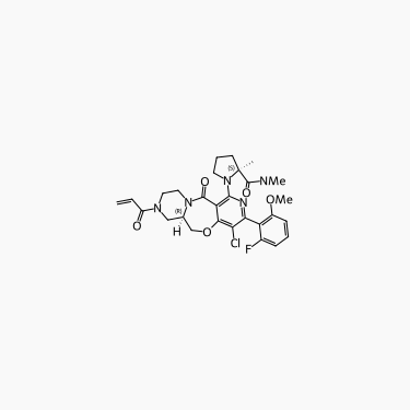 C=CC(=O)N1CCN2C(=O)c3c(N4CCC[C@@]4(C)C(=O)NC)nc(-c4c(F)cccc4OC)c(Cl)c3OC[C@H]2C1